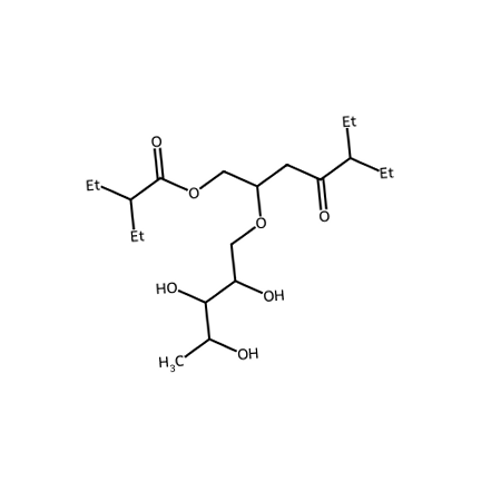 CCC(CC)C(=O)CC(COC(=O)C(CC)CC)OCC(O)C(O)C(C)O